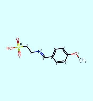 COc1ccc(/C=N/CCS(=O)(=O)O)cc1